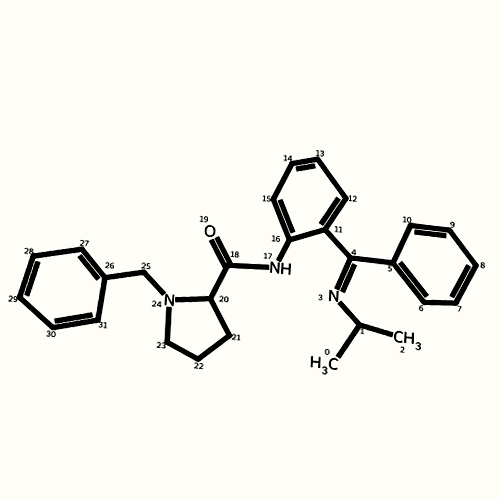 CC(C)/N=C(\c1ccccc1)c1ccccc1NC(=O)C1CCCN1Cc1ccccc1